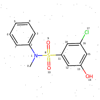 CN(c1ccccc1)S(=O)(=O)c1cc(O)cc(Cl)c1